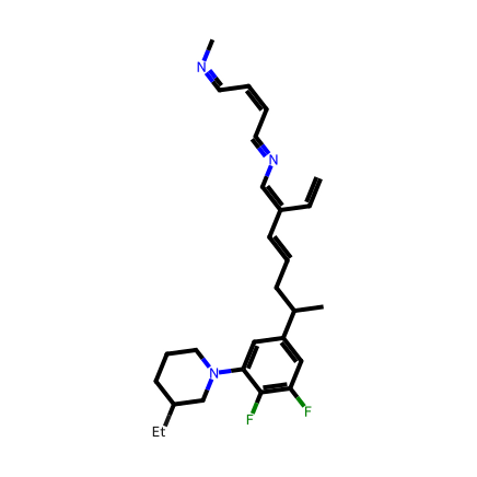 C=C\C(C=CCC(C)c1cc(F)c(F)c(N2CCCC(CC)C2)c1)=C/N=C/C=C\C=N/C